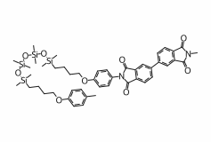 Cc1ccc(OCCCC[Si](C)(C)O[Si](C)(C)O[Si](C)(C)O[Si](C)(C)CCCCOc2ccc(N3C(=O)c4ccc(-c5ccc6c(c5)C(=O)N(C)C6=O)cc4C3=O)cc2)cc1